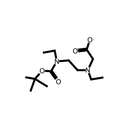 CCN(CCN(CC)C(=O)OC(C)(C)C)CC([O])=O